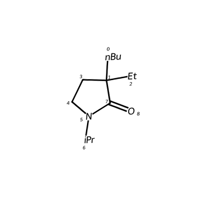 CCCCC1(CC)CCN(C(C)C)C1=O